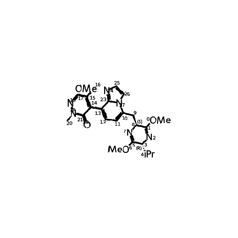 COC1=N[C@H](C(C)C)C(OC)=N[C@H]1Cc1ccc(-c2c(OC)cnn(C)c2=O)c2nccn12